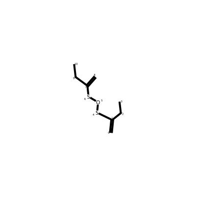 C=C(CC)SOSC(=C)CC